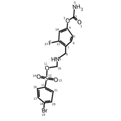 NC(=O)Oc1ccc(CNCOS(=O)(=O)c2ccc(Br)cc2)c(F)c1